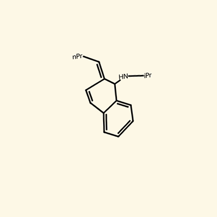 CCC/C=C1\C=Cc2ccccc2C1NC(C)C